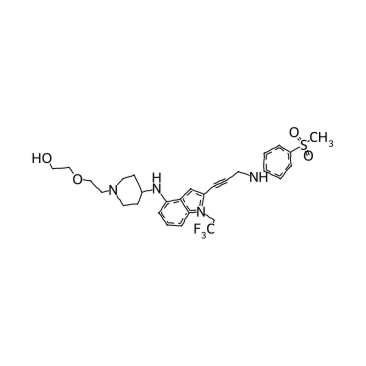 CS(=O)(=O)c1ccc(NCC#Cc2cc3c(NC4CCN(CCOCCO)CC4)cccc3n2CC(F)(F)F)cc1